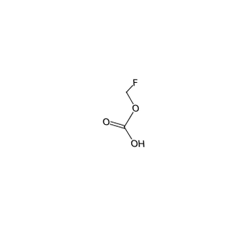 O=C(O)OCF